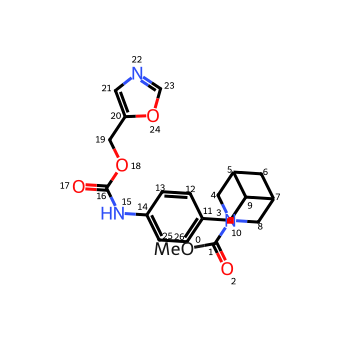 COC(=O)N1CC2CC(C1)C2Cc1ccc(NC(=O)OCc2cnco2)cc1